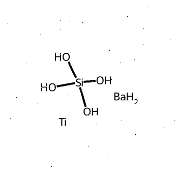 O[Si](O)(O)O.[BaH2].[Ti]